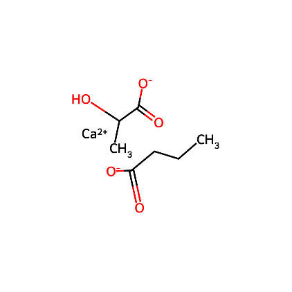 CC(O)C(=O)[O-].CCCC(=O)[O-].[Ca+2]